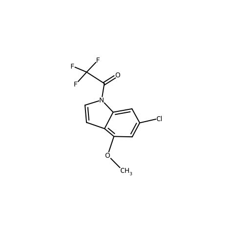 COc1cc(Cl)cc2c1ccn2C(=O)C(F)(F)F